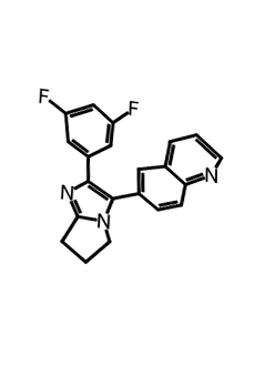 Fc1cc(F)cc(-c2nc3n(c2-c2ccc4ncccc4c2)CCC3)c1